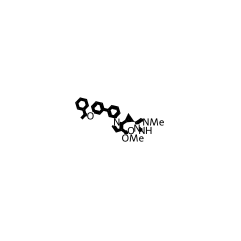 CN/C=C(\N=N)[C@H]1CC1c1c(C(=O)OC)ccn1-c1cccc(-c2cccc(OC(C)C3CCCCC3)c2)c1